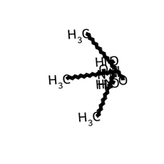 CCCCCCCCCCCCNC(=O)CCN(CCC=O)N(CCC(=O)NCCCCCCCCCCCC)CCC(=O)NCCCCCCCCCCCC